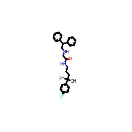 CC(C)C(C#N)(CCCNC(=O)CNCC(c1ccccc1)c1ccccc1)c1ccc(F)cc1